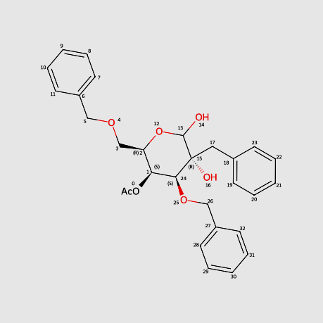 CC(=O)O[C@H]1[C@@H](COCc2ccccc2)OC(O)[C@@](O)(Cc2ccccc2)[C@H]1OCc1ccccc1